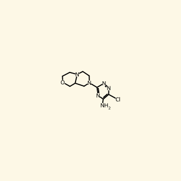 Nc1nc(N2CCN3CCOCC3C2)nnc1Cl